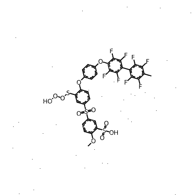 COc1ccc(S(=O)(=O)c2ccc(Oc3ccc(Oc4c(F)c(F)c(-c5c(F)c(F)c(C)c(F)c5F)c(F)c4F)cc3)c(SOOO)c2)cc1S(=O)(=O)O